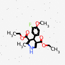 CCOC(=O)C1=CNC(C)=C(C(=O)OCC)C1c1ccc(OC)c(F)c1